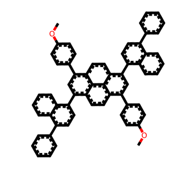 COc1ccc(-c2cc(-c3ccc(-c4ccccc4)c4ccccc34)c3ccc4c(-c5ccc(OC)cc5)cc(-c5ccc(-c6ccccc6)c6ccccc56)c5ccc2c3c45)cc1